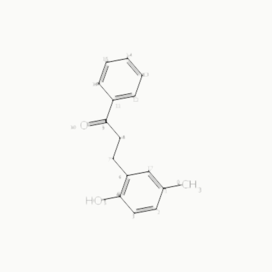 Cc1ccc(O)c(CCC(=O)c2ccccc2)c1